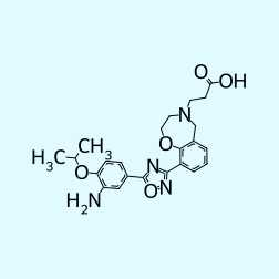 CC(C)Oc1ccc(-c2nc(-c3cccc4c3OCCN(CCC(=O)O)C4)no2)cc1N